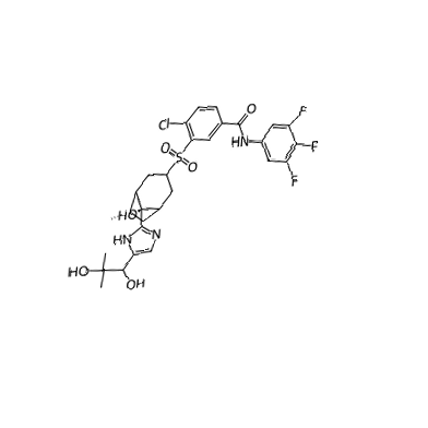 C[C@H]1CC2CC(S(=O)(=O)c3cc(C(=O)Nc4cc(F)c(F)c(F)c4)ccc3Cl)CC1[C@@]2(O)c1ncc(C(O)C(C)(C)O)[nH]1